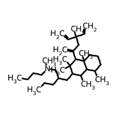 C=CC(C)(C=C)CC(=C)C1C(C)(C)C(CC(CCC)CN(C)CCCC)C(C)C2C(C)CCCC21C